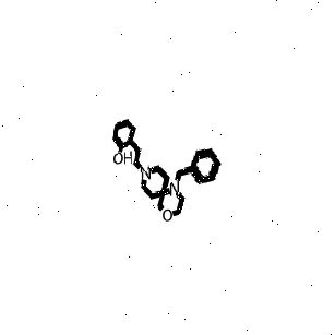 Oc1ccccc1CCN1CCC2(CC1)COCCN2Cc1ccccc1